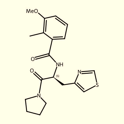 COc1cccc(C(=O)N[C@@H](Cc2cscn2)C(=O)N2CCCC2)c1C